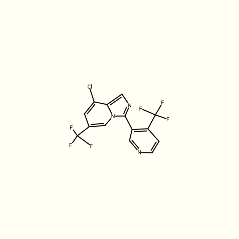 FC(F)(F)c1cc(Cl)c2cnc(-c3cnccc3C(F)(F)F)n2c1